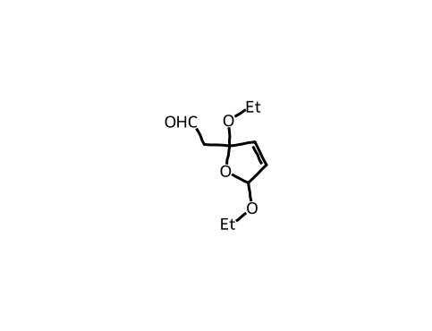 CCOC1C=CC(CC=O)(OCC)O1